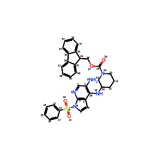 Nc1cnc2c(ccn2S(=O)(=O)c2ccccc2)c1NC1CCCN(C(=O)OCC2c3ccccc3-c3ccccc32)C1